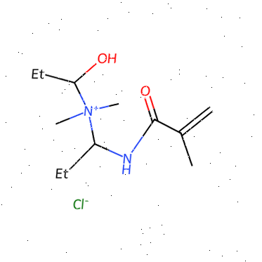 C=C(C)C(=O)NC(CC)[N+](C)(C)C(O)CC.[Cl-]